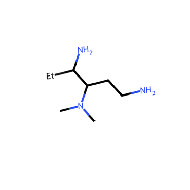 CCC(N)C(CCN)N(C)C